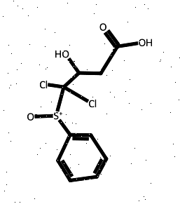 O=C(O)CC(O)C(Cl)(Cl)[S+]([O-])c1ccccc1